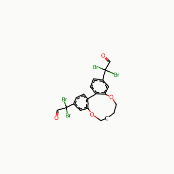 O=CC(Br)(Br)c1ccc2c(c1)OCCCCOc1cc(C(Br)(Br)C=O)ccc1-2